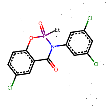 CCP1(=O)Oc2ccc(Cl)cc2C(=O)N1c1cc(Cl)cc(Cl)c1